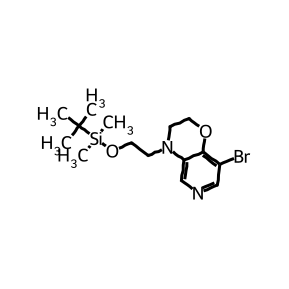 CC(C)(C)[Si](C)(C)OCCN1CCOc2c(Br)cncc21